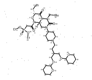 CCOP(=O)(CC(=O)N1O[C@H](CC(C)C)C(=O)N2[C@@H]1CN(C1CCN(CCC(COC3CCCCO3)COC3CCCCO3)CC1)C(=O)[C@@H]2CC(C)(C)C)OCC